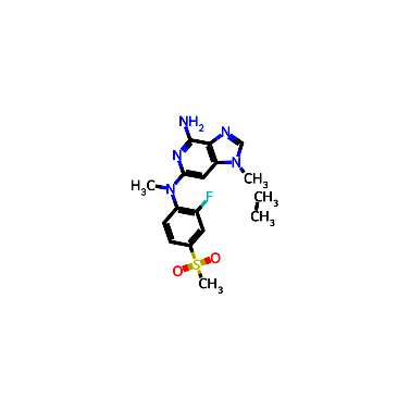 CC.CN(c1cc2c(ncn2C)c(N)n1)c1ccc(S(C)(=O)=O)cc1F